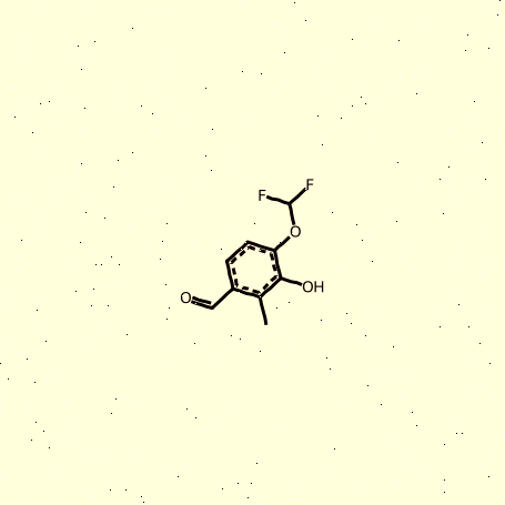 Cc1c(C=O)ccc(OC(F)F)c1O